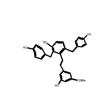 COc1cc(O)cc(CCc2c(Cc3ccc(O)cc3)ccc(O)c2Cc2ccc(O)cc2)c1